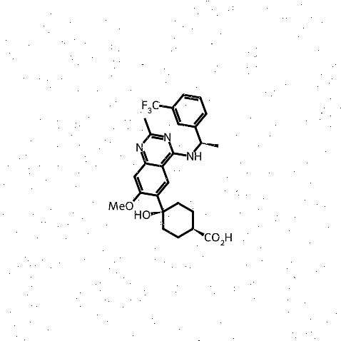 COc1cc2nc(C)nc(N[C@H](C)c3cccc(C(F)(F)F)c3)c2cc1[C@]1(O)CC[C@@H](C(=O)O)CC1